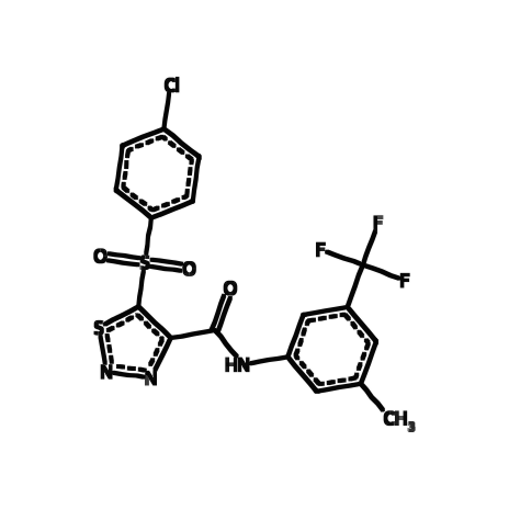 Cc1cc(NC(=O)c2nnsc2S(=O)(=O)c2ccc(Cl)cc2)cc(C(F)(F)F)c1